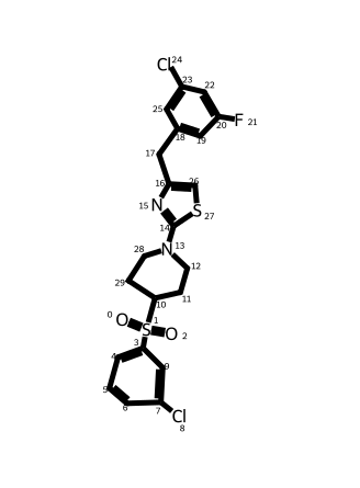 O=S(=O)(c1cccc(Cl)c1)C1CCN(c2nc(Cc3cc(F)cc(Cl)c3)cs2)CC1